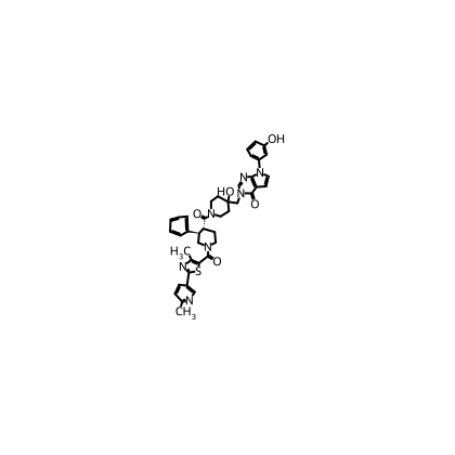 Cc1ccc(-c2nc(C)c(C(=O)N3CC[C@@H](C(=O)N4CCC(O)(Cn5cnc6c(ccn6-c6cccc(O)c6)c5=O)CC4)[C@H](c4ccccc4)C3)s2)cn1